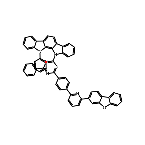 c1ccc(-c2nc(-c3ccc(-c4cccc(-c5ccc6c(c5)oc5ccccc56)n4)cc3)nc(-n3c4ccccc4c4ccc5c6ccccc6n(-c6ccccc6)c5c43)n2)cc1